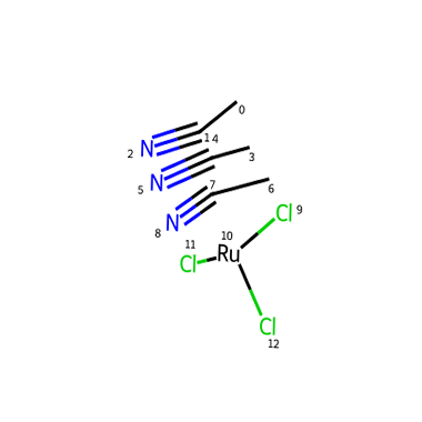 CC#N.CC#N.CC#N.[Cl][Ru]([Cl])[Cl]